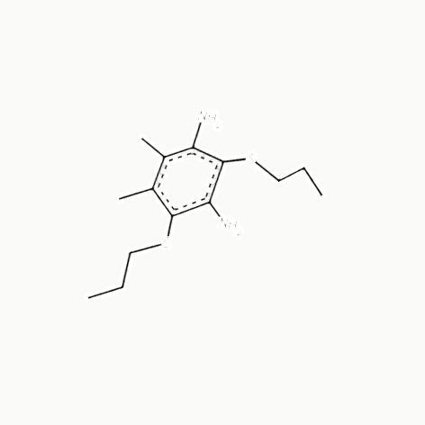 CCCSc1c(C)c(C)c(N)c(SCCC)c1N